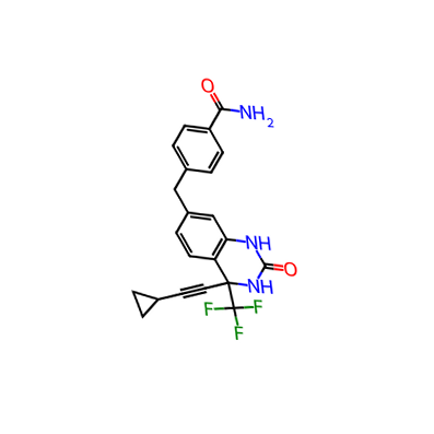 NC(=O)c1ccc(Cc2ccc3c(c2)NC(=O)NC3(C#CC2CC2)C(F)(F)F)cc1